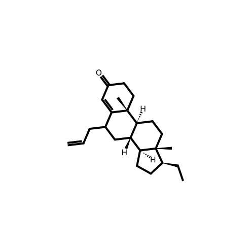 C=CCC1C[C@H]2[C@@H]3CC[C@H](CC)[C@@]3(C)CC[C@@H]2[C@@]2(C)CCC(=O)C=C12